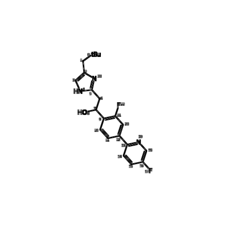 CC(C)(C)Cc1c[nH]c(CC(O)c2ccc(-c3ccc(F)cn3)cc2F)n1